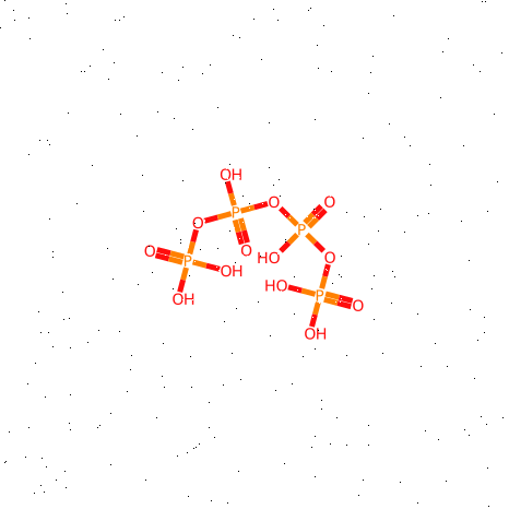 O=P(O)(O)OP(=O)(O)OP(=O)(O)OP(=O)(O)O